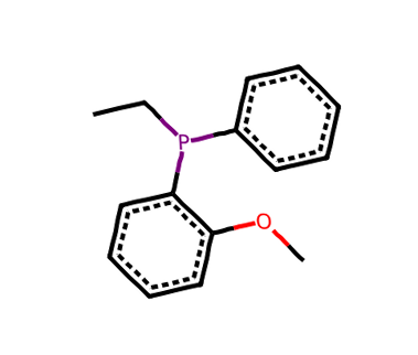 CCP(c1ccccc1)c1ccccc1OC